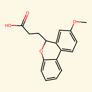 COc1ccc2c(c1)C(CCC(=O)O)Oc1ccccc1-2